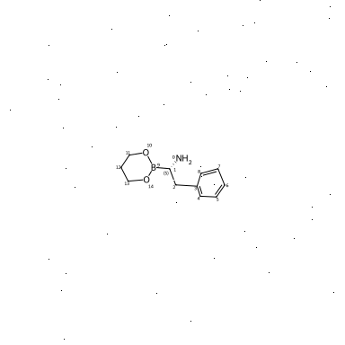 N[C@H](Cc1ccccc1)B1OCCCO1